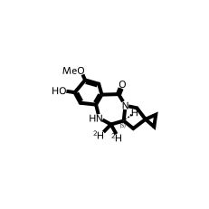 [2H]C1([2H])Nc2cc(O)c(OC)cc2C(=O)N2CC3(CC3)C[C@H]21